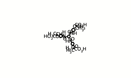 CC(C)(Oc1ccc(NC(=O)c2cc(C(=O)Nc3ccc(OC(C)(C)C(=O)O)cc3)cc(C(=O)Nc3ccc(C(=O)C(C)(C)C(=O)O)cc3)c2)cc1)C(=O)O